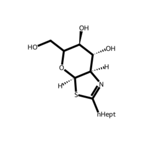 CCCCCCCC1=N[C@@H]2[C@@H](O)[C@H](O)C(CO)O[C@@H]2S1